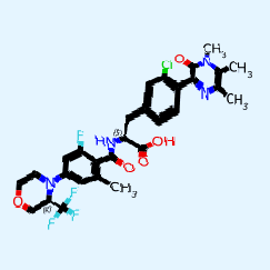 Cc1cc(N2CCOC[C@@H]2C(F)(F)F)cc(F)c1C(=O)N[C@@H](Cc1ccc(-c2nc(C)c(C)n(C)c2=O)c(Cl)c1)C(=O)O